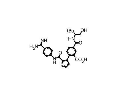 CC(C)(C)C(CO)NC(=O)c1ccc(-c2ccsc2C(=O)Nc2ccc(C(=N)N)cc2)c(C(=O)O)c1